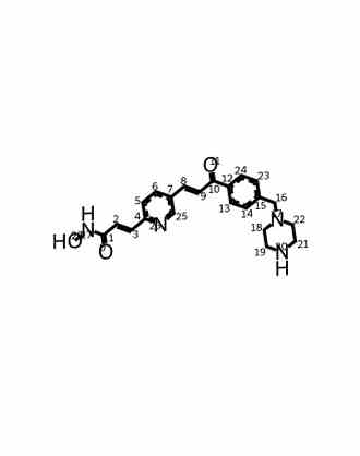 O=C(C=Cc1ccc(C=CC(=O)c2ccc(CN3CCNCC3)cc2)cn1)NO